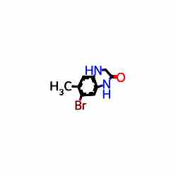 Cc1cc2c(cc1Br)NC(=O)CN2